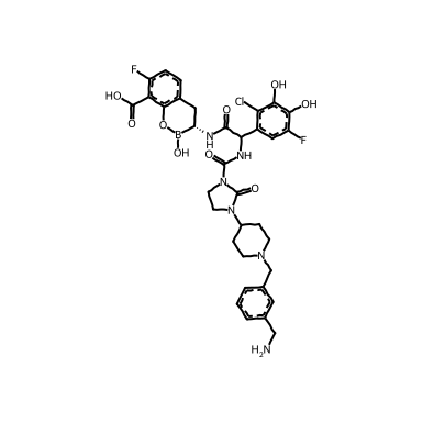 NCc1cccc(CN2CCC(N3CCN(C(=O)NC(C(=O)N[C@H]4Cc5ccc(F)c(C(=O)O)c5OB4O)c4cc(F)c(O)c(O)c4Cl)C3=O)CC2)c1